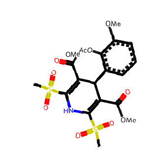 COC(=O)C1=C(S(C)(=O)=O)NC(S(C)(=O)=O)=C(C(=O)OC)C1c1cccc(OC)c1OC(C)=O